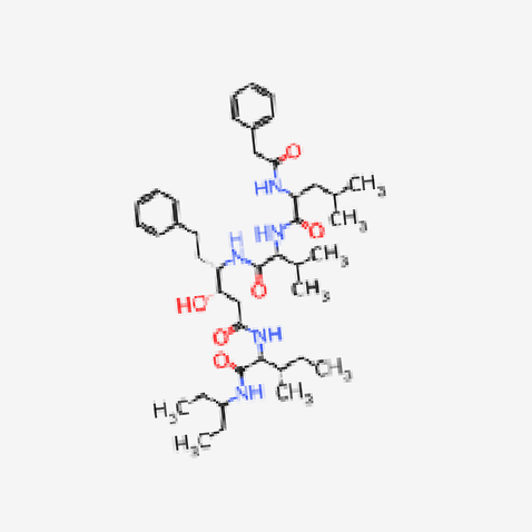 CCC(CC)NC(=O)[C@@H](NC(=O)C[C@H](O)[C@H](CCc1ccccc1)NC(=O)[C@@H](NC(=O)[C@H](CC(C)C)NC(=O)Cc1ccccc1)C(C)C)[C@@H](C)CC